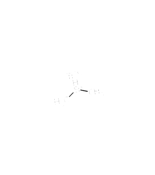 C[SiH2]C.[Ti+3]